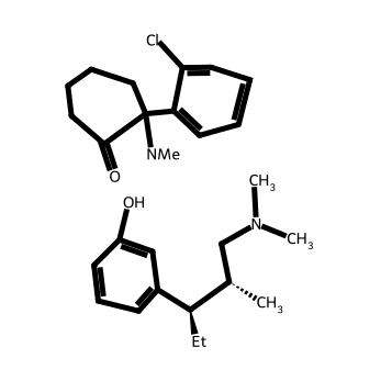 CC[C@@H](c1cccc(O)c1)[C@@H](C)CN(C)C.CNC1(c2ccccc2Cl)CCCCC1=O